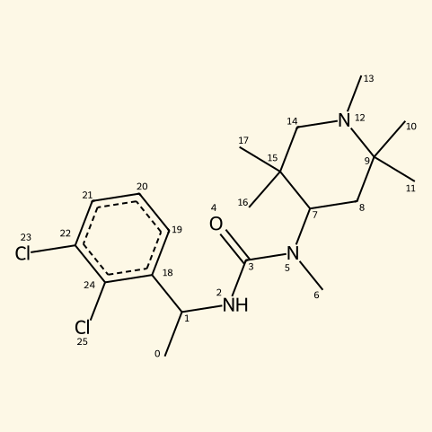 CC(NC(=O)N(C)C1CC(C)(C)N(C)CC1(C)C)c1cccc(Cl)c1Cl